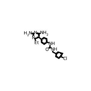 CCc1nc(N)nc(N)c1-c1ccc(NC(=O)NCc2ccc(Cl)cc2)cc1